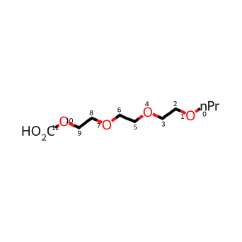 CCCOCCOCCOCCOC(=O)O